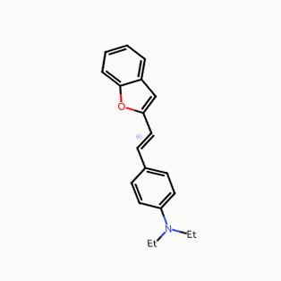 CCN(CC)c1ccc(/C=C/c2cc3ccccc3o2)cc1